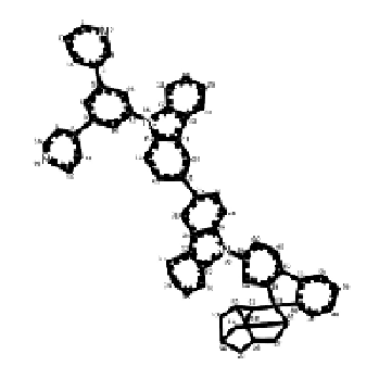 c1cncc(-c2cc(-c3ccncc3)cc(-n3c4ccccc4c4cc(-c5ccc6c(c5)c5ccccc5n6-c5ccc6c(c5)C5(c7ccccc7-6)C6CC7CC(C6)C6C(C7)C65)ccc43)c2)c1